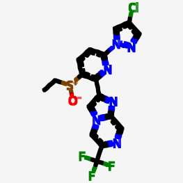 CC[S+]([O-])c1ccc(-n2cc(Cl)cn2)nc1-c1cn2cc(C(F)(F)F)ncc2n1